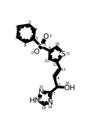 O=S(=O)(c1ccccc1)c1csc(C=CC(O)c2nc[nH]n2)c1